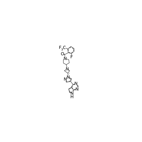 O=C(c1c(F)cccc1C(F)(F)F)N1CCC(N2C[C](n3cc(-c4ncnc5[nH]ccc45)cn3)C2)CC1